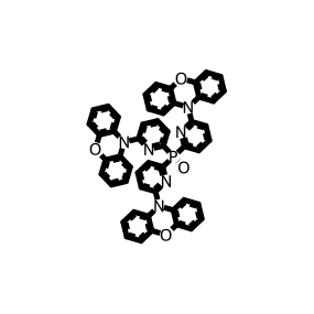 O=P(c1cccc(N2c3ccccc3Oc3ccccc32)n1)(c1cccc(N2c3ccccc3Oc3ccccc32)n1)c1cccc(N2c3ccccc3Oc3ccccc32)n1